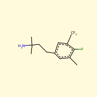 Cc1cc(CCC(C)(C)N)cc(C(F)(F)F)c1F